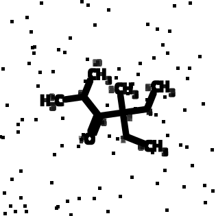 CCC(C)(CC)C(=O)C(C)C